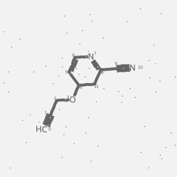 C#CCOC1C=CN=C(C#N)C1